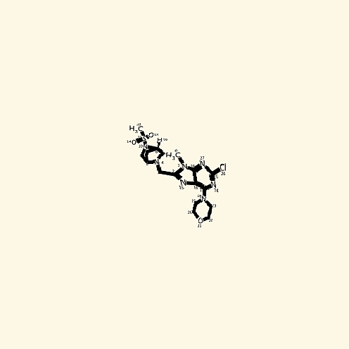 Cn1c(CN2C[C@@H]3CC2CN3S(C)(=O)=O)nc2c(N3CCOCC3)nc(Cl)nc21